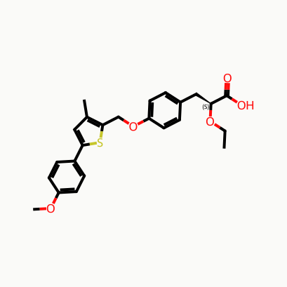 CCO[C@@H](Cc1ccc(OCc2sc(-c3ccc(OC)cc3)cc2C)cc1)C(=O)O